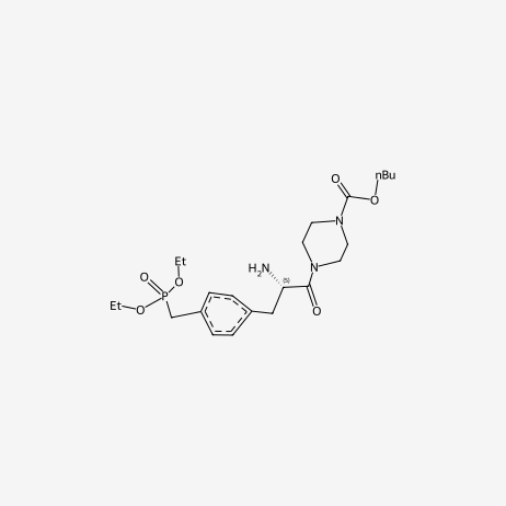 CCCCOC(=O)N1CCN(C(=O)[C@@H](N)Cc2ccc(CP(=O)(OCC)OCC)cc2)CC1